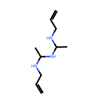 C=CCNC(C)NC(C)NCC=C